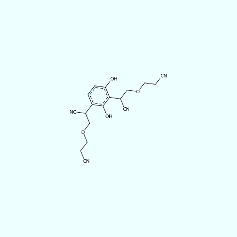 N#CCCOCC(C#N)c1ccc(O)c(C(C#N)COCCC#N)c1O